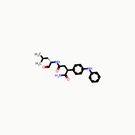 CC(C)C[C@@H](C=O)NC(=O)CC(C(N)=O)c1ccc(Nc2ccccc2)cc1